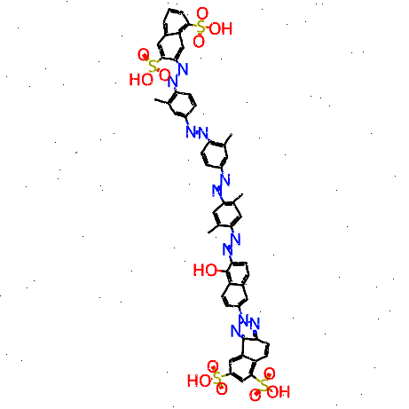 Cc1cc(N=Nc2cc(C)c(N=Nc3ccc4cc(-n5nc6ccc7c(S(=O)(=O)O)cc(S(=O)(=O)O)cc7c6n5)ccc4c3O)cc2C)ccc1N=Nc1ccc(N=Nc2cc3c(S(=O)(=O)O)cccc3cc2S(=O)(=O)O)c(C)c1